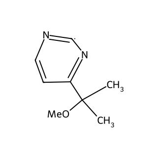 COC(C)(C)c1ccn[c]n1